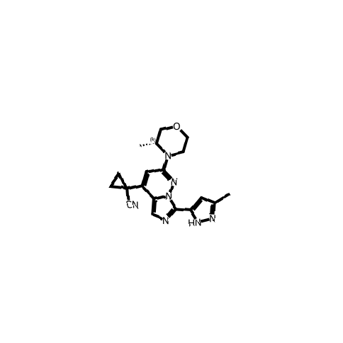 Cc1cc(-c2ncc3c(C4(C#N)CC4)cc(N4CCOC[C@H]4C)nn23)[nH]n1